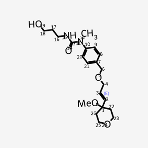 COC1(/C=C/COCc2ccc(N(C)C(=O)NCCCO)cc2)CCOCC1